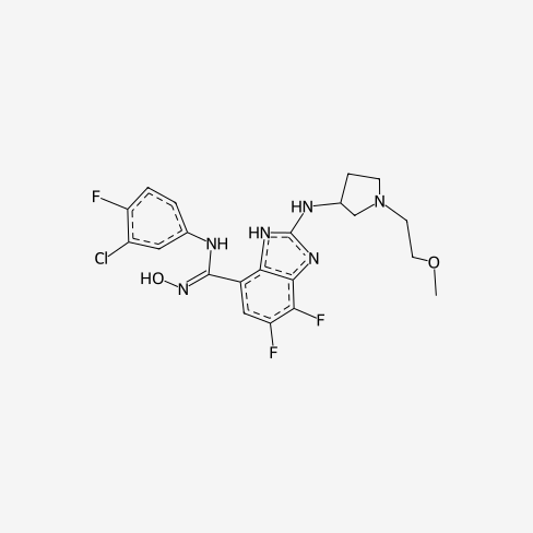 COCCN1CCC(Nc2nc3c(F)c(F)cc(/C(=N/O)Nc4ccc(F)c(Cl)c4)c3[nH]2)C1